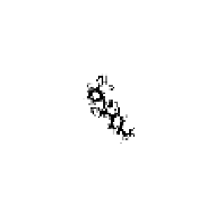 Cc1cc(NC(=O)c2cnc(C(F)F)cn2)ccc1F